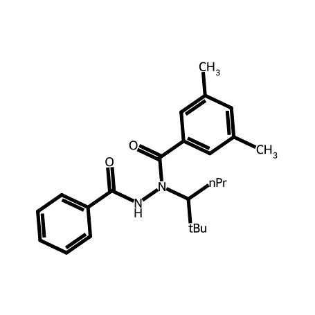 CCCC(N(NC(=O)c1ccccc1)C(=O)c1cc(C)cc(C)c1)C(C)(C)C